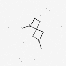 CN1CC2(CCN2F)C1